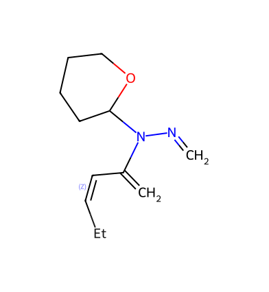 C=NN(C(=C)/C=C\CC)C1CCCCO1